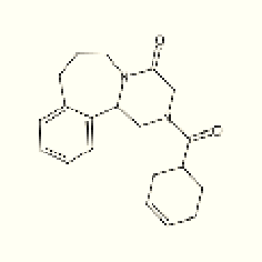 O=C(C1CC=CCC1)N1CC(=O)N2CCCc3ccccc3C2C1